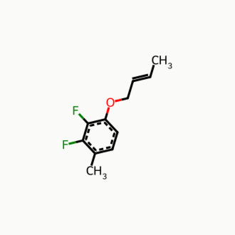 CC=CCOc1ccc(C)c(F)c1F